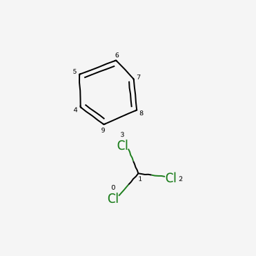 ClC(Cl)Cl.c1ccccc1